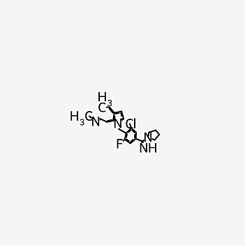 C/C=c1/ccn(Cc2c(F)cc(C(=N)N3CCCC3)cc2Cl)/c1=C/C=N/C